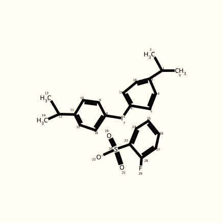 CC(C)c1ccc([I+]c2ccc(C(C)C)cc2)cc1.O=S(=O)([O-])c1ccccc1F